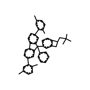 Cc1ccc(C)c(-c2ccc3c(c2)C(c2ccccc2)(c2ccc4c(c2)CC4CC(C)(C)C)c2cc(-c4cc(C)ccc4C)ccc2-3)c1